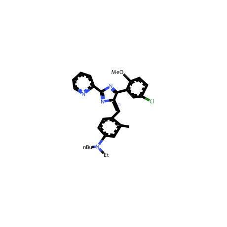 CCCCN(CC)c1ccc(/C=C2\N=C(c3ccccn3)N=C2c2cc(Cl)ccc2OC)c(C)c1